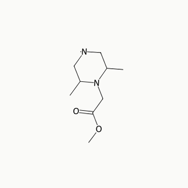 COC(=O)CN1C(C)C[N]CC1C